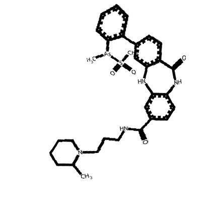 CC1CCCCN1CCCNC(=O)c1ccc2c(c1)Nc1cc(-c3ccccc3[As](C)S(C)(=O)=O)ccc1C(=O)N2